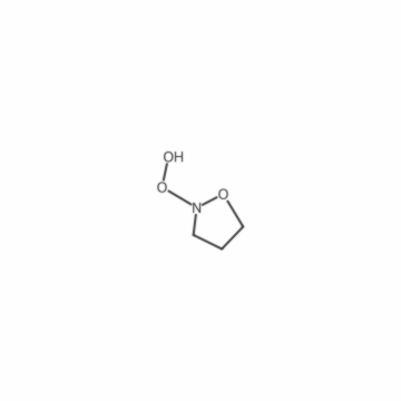 OON1CCCO1